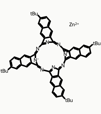 CC(C)(C)c1ccc2cc3c(cc2c1)-c1nc-3nc2[n-]c(nc3nc(nc4[n-]c(n1)c1cc5ccc(C(C)(C)C)cc5cc41)-c1cc4ccc(C(C)(C)C)cc4cc1-3)c1cc3ccc(C(C)(C)C)cc3cc21.[Zn+2]